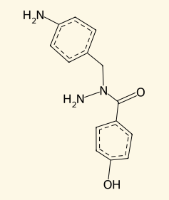 Nc1ccc(CN(N)C(=O)c2ccc(O)cc2)cc1